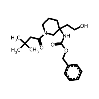 CC(C)(C)CC(=O)N1CCCC(CCO)(NC(=O)OCc2ccccc2)C1